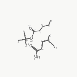 CC(I)CCC(=O)O.CCCCC(=O)OC(C)(C)C